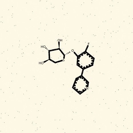 O[C@@H]1[C@@H](O)[C@H](Oc2cc(-c3cccnc3)ccc2F)SC[C@H]1O